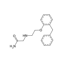 NC(=O)CNCCOc1ccccc1Cc1ccccc1